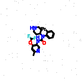 Cc1cc(OC(F)F)c(NC(=O)N(c2ccccc2C(C)C)C2CCNCC2)cn1